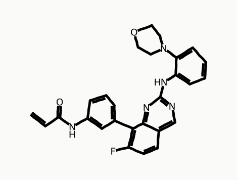 C=CC(=O)Nc1cccc(-c2c(F)ccc3cnc(Nc4ccccc4N4CCOCC4)nc23)c1